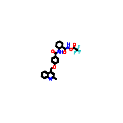 Cc1cc(COc2ccc(C(=O)NC3CCCCC3C(=O)NOC(=O)C(F)(F)F)cc2)c2ccccc2n1